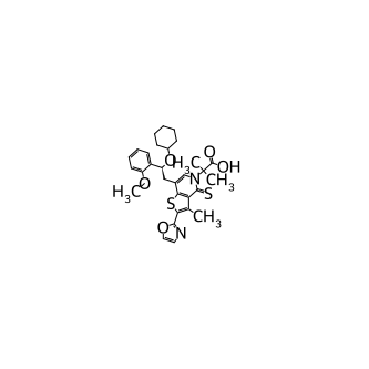 COc1ccccc1[C@H](Cc1cn(C(C)(C)C(=O)O)c(=S)c2c(C)c(-c3ncco3)sc12)OC1CCCCC1